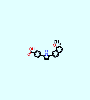 COc1cccc2ccc(-c3ccc(-c4ccc(C(=O)O)cc4)[nH]3)cc12